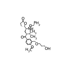 COc1ccc(C(=O)[C@@H](C[C@H](NOCP)[C@@H]2CCC(=O)O2)C(C)C)cc1COCCCO